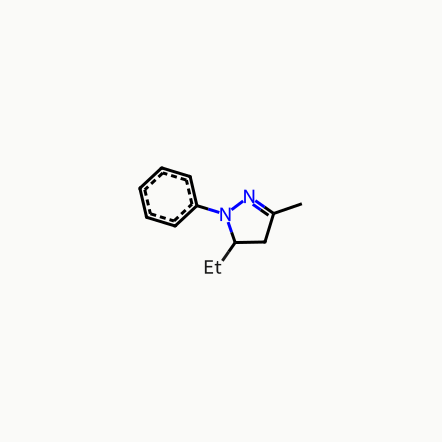 CCC1CC(C)=NN1c1ccccc1